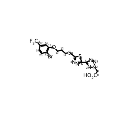 O=C(O)Cn1nnc(-c2nnc(SCCCOc3cc(C(F)(F)F)ccc3Br)s2)n1